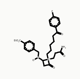 CCOC(=O)c1ccc(C[S+]([O-])C2CC(=O)[N+]2(CCCCCC(=O)c2ccc(F)cc2)CCC(N)=O)cc1